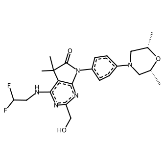 C[C@@H]1CN(c2ccc(N3C(=O)C(C)(C)c4c(NCC(F)F)nc(CO)nc43)cc2)C[C@H](C)O1